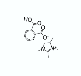 CC1=[N+](C)C(C)CN1C.O=C([O-])c1ccccc1C(=O)O